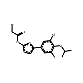 CC(C)Oc1c(F)cc(-c2csc(NC(=O)CBr)n2)cc1Cl